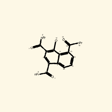 CCCC(=O)c1cc(C(=O)CCC)c2cccc(C(=O)CCC)c2c1[O]